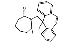 CC12CCCCC(=O)N1CC1(O2)c2ccccc2C=Cc2ccccc21